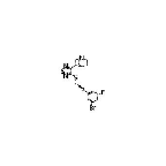 Fc1cc(Br)cc(C#CCSc2nsnc2C2CN3CCC2C3)c1